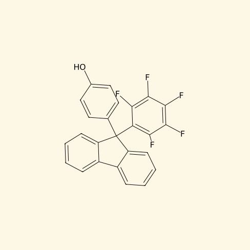 Oc1ccc(C2(c3c(F)c(F)c(F)c(F)c3F)c3ccccc3-c3ccccc32)cc1